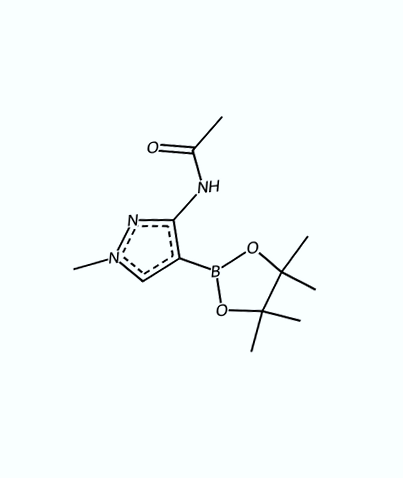 CC(=O)Nc1nn(C)cc1B1OC(C)(C)C(C)(C)O1